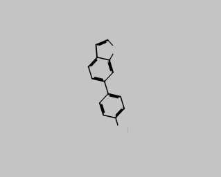 Cc1ccc(-c2ccc3ccsc3c2)cc1